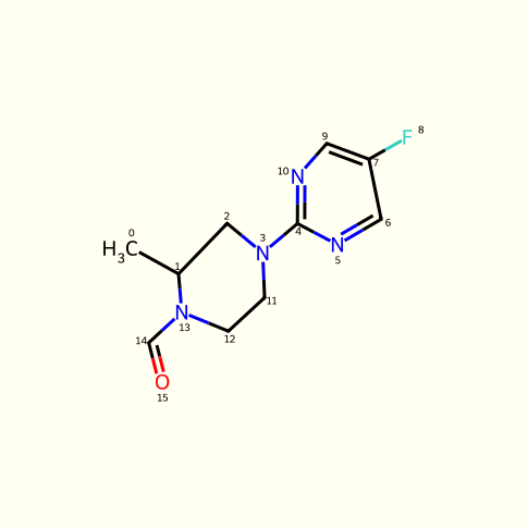 CC1CN(c2ncc(F)cn2)CCN1C=O